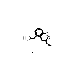 BCc1cccc(Cl)c1CC(=O)OC